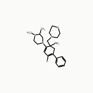 CC1CN(C2=CC(F)=C(c3ccccc3)CC2(N)CN2CCOCC2)CCN1C